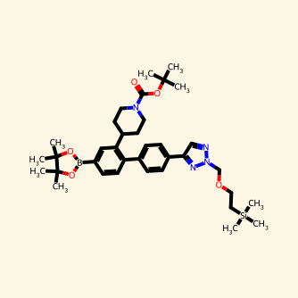 CC(C)(C)OC(=O)N1CCC(c2cc(B3OC(C)(C)C(C)(C)O3)ccc2-c2ccc(-c3cnn(COCC[Si](C)(C)C)n3)cc2)CC1